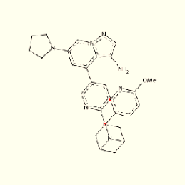 COc1ccc(CN2C3CC2CN(c2ccc(-c4cc(N5CCCC5)cn5ncc(N)c45)cn2)C3)cn1